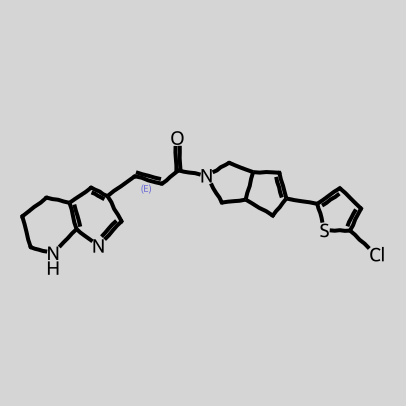 O=C(/C=C/c1cnc2c(c1)CCCN2)N1CC2C=C(c3ccc(Cl)s3)CC2C1